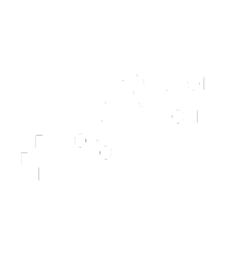 CC(C)(COC(=O)C12CC3CC(C1)C1(SCC(CO)(CO)CS1)C(C3)C2)C(F)(F)F